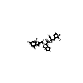 N#CC(CC1CCNC1=O)NC(=O)C1C2CCCC2CN1C(=O)c1cc2c(Cl)cc(F)cc2[nH]1